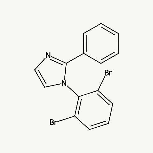 Brc1cccc(Br)c1-n1ccnc1-c1ccccc1